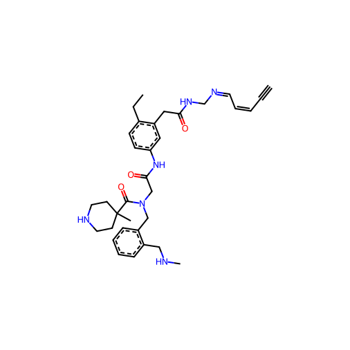 C#C/C=C\C=N/CNC(=O)Cc1cc(NC(=O)CN(Cc2ccccc2CNC)C(=O)C2(C)CCNCC2)ccc1CC